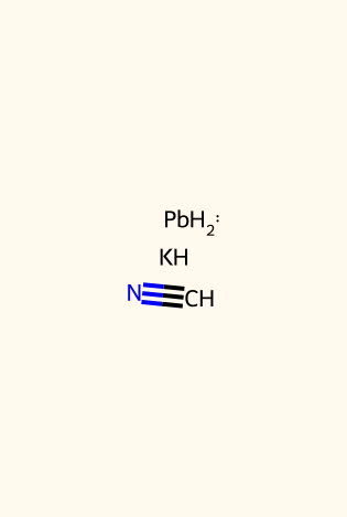 C#N.[KH].[PbH2]